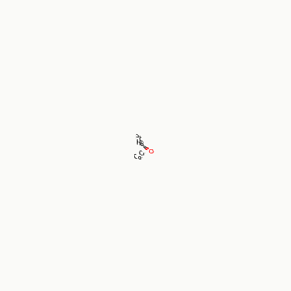 B=O.[Co].[Cr].[Pt]